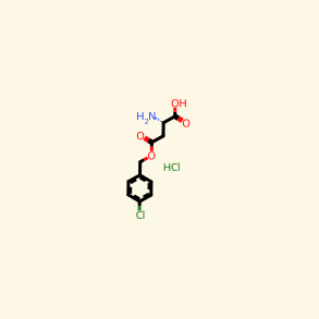 Cl.N[C@@H](CC(=O)OCc1ccc(Cl)cc1)C(=O)O